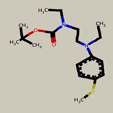 CCN(CCN(CC)c1ccc(SC)cc1)C(=O)OC(C)(C)C